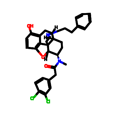 CN(C(=O)Cc1ccc(Cl)c(Cl)c1)[C@H]1CC[C@H]2[C@H]3Cc4c(O)ccc5c4[C@@]2(CCN3CCc2ccccc2)[C@H]1O5